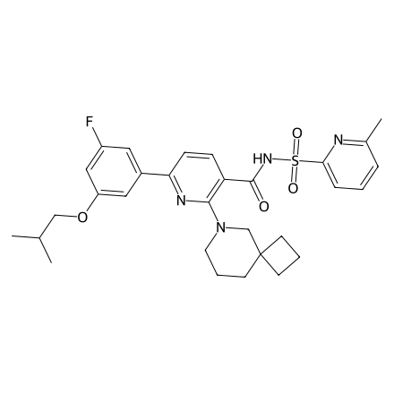 Cc1cccc(S(=O)(=O)NC(=O)c2ccc(-c3cc(F)cc(OCC(C)C)c3)nc2N2CCCC3(CCC3)C2)n1